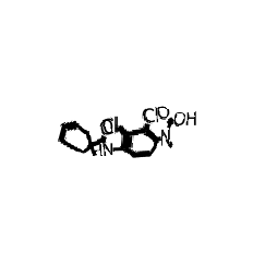 CN(C(=O)O)c1ccc(NC(=O)C2(C)CC=CCC2)c(Cl)c1Cl